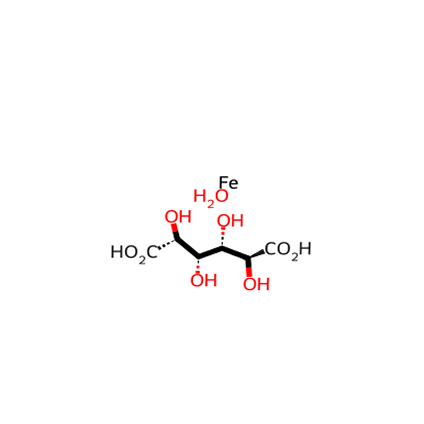 O.O=C(O)[C@@H](O)[C@@H](O)[C@H](O)[C@@H](O)C(=O)O.[Fe]